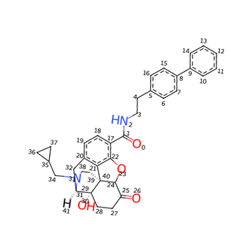 O=C(NCCc1ccc(-c2ccccc2)cc1)c1ccc2c3c1OC1C(=O)CC[C@@]4(O)[C@@H](C2)N(CC2CC2)CC[C@]314